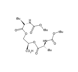 CC[C@H](C)[C@H](NC(=O)OC(C)(C)C)C(=O)OC[C@@H](OC(=O)[C@@H](NC(=O)OC(C)(C)C)[C@@H](C)CC)C(=O)O